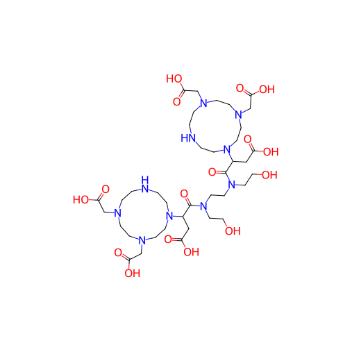 O=C(O)CC(C(=O)N(CCO)CCN(CCO)C(=O)C(CC(=O)O)N1CCNCCN(CC(=O)O)CCN(CC(=O)O)CC1)N1CCNCCN(CC(=O)O)CCN(CC(=O)O)CC1